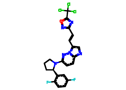 Fc1ccc(F)c([C@H]2CCCN2c2ccc3ncc(/C=C/c4noc(C(Cl)(Cl)Cl)n4)n3n2)c1